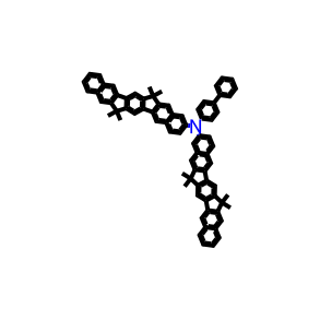 CC1(C)c2cc3c(cc2-c2cc4ccccc4cc21)C(C)(C)c1cc2cc(N(c4ccc(-c5ccccc5)cc4)c4ccc5cc6c(cc5c4)C(C)(C)c4cc5c(cc4-6)C(C)(C)c4cc6ccccc6cc4-5)ccc2cc1-3